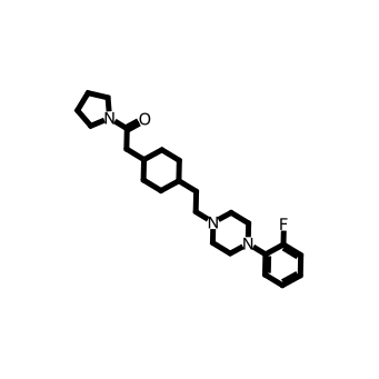 O=C(CC1CCC(CCN2CCN(c3ccccc3F)CC2)CC1)N1CCCC1